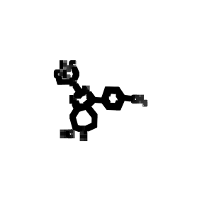 CCN(CC)c1nc2c(c(-c3ccc(C)cc3)n1)CCNCC2.Cl